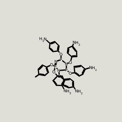 Cc1ccc(OP2(Oc3ccc(N)cc3)=NP(Oc3ccc(N)cc3)N(Oc3ccc(N)cc3)P(Oc3ccc(N)cc3)N2Oc2ccc(N)cc2)cc1